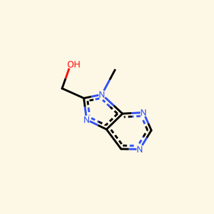 Cn1c(CO)nc2cncnc21